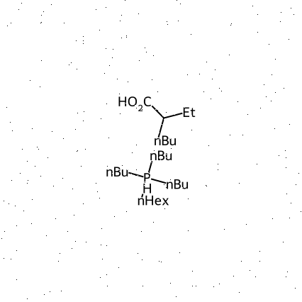 CCCCC(CC)C(=O)O.CCCCCC[PH](CCCC)(CCCC)CCCC